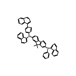 CC1(C)c2cc(N(c3ccccc3)c3cccc4ccccc34)ccc2-c2ccc(N(c3ccc(-c4cccc5ccccc45)cc3)c3cccc4ccccc34)cc21